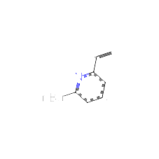 C=Cc1cccc(CCCC)n1